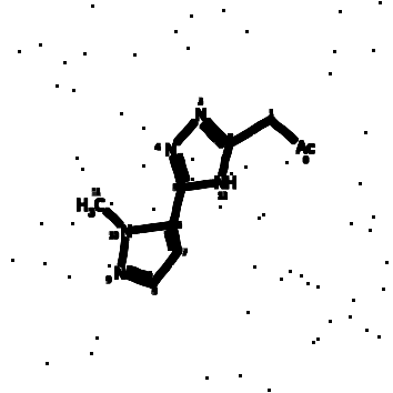 CC(=O)Cc1nnc(-c2ccnn2C)[nH]1